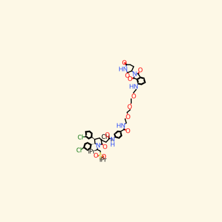 CC(C)C(CS(=O)(=O)C(C)C)N1C(=O)[C@@](C)(CC(=O)Nc2ccc(C(=O)NCCOCCOCCOCCNc3cccc4c3C(=O)N(C3CCC(=O)NC3=O)C4=O)cc2)C[C@H](c2cccc(Cl)c2)[C@H]1c1ccc(Cl)cc1